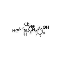 C#CCNc1cn(-c2ccc[n+](O)c2)nc1Cl